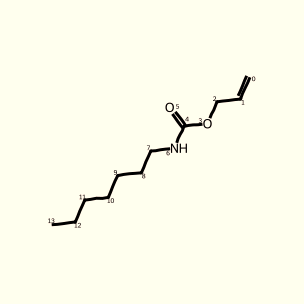 C=CCOC(=O)NCCCCCCC